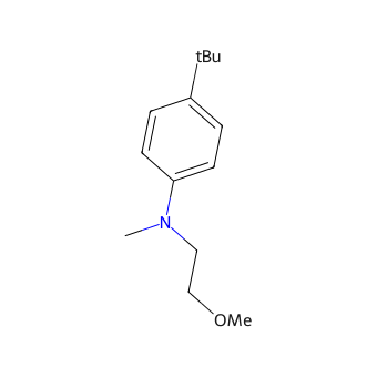 COCCN(C)c1ccc(C(C)(C)C)cc1